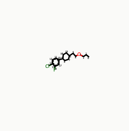 CCCOCCC1CCC(c2ccc(Cl)c(F)c2)CC1